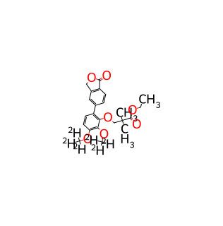 [2H]C([2H])([2H])Oc1ccc(-c2ccc3c(c2)COC3=O)c(OCC(C)(C)C(=O)OCC)c1OC([2H])([2H])[2H]